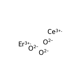 [Ce+3].[Er+3].[O-2].[O-2].[O-2]